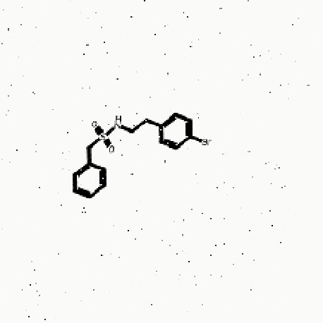 O=S(=O)(Cc1ccccc1)NCCc1ccc(Br)cc1